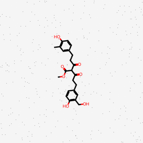 COC(=O)C(C(=O)CCc1ccc(O)c(C)c1)C(=O)CCc1ccc(O)c(CO)c1